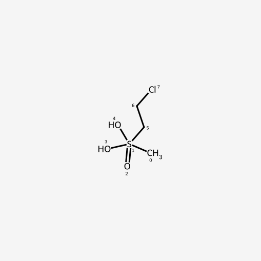 CS(=O)(O)(O)CCCl